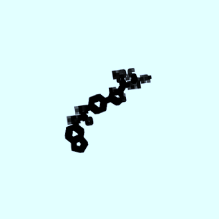 CC(C)[C@H](NC(=O)c1nc(-c2ccc(NC(=O)Nc3ccc4c(c3)CCC4)cc2)cs1)C(=O)O